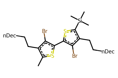 CCCCCCCCCCCCc1c(C)sc(-c2sc([Si](C)(C)C)c(CCCCCCCCCCCC)c2Br)c1Br